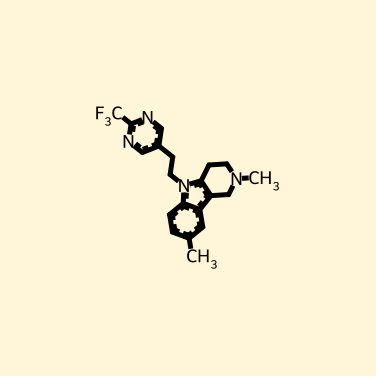 Cc1ccc2c(c1)c1c(n2CCc2cnc(C(F)(F)F)nc2)CCN(C)C1